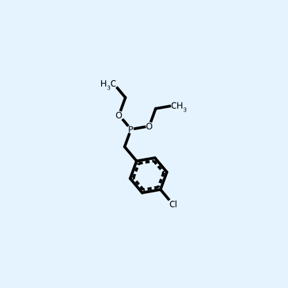 CCOP(Cc1ccc(Cl)cc1)OCC